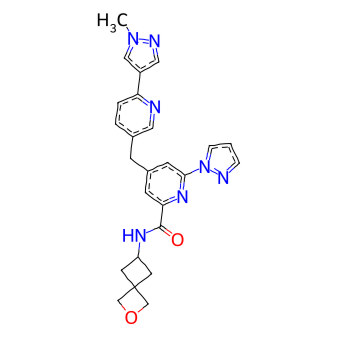 Cn1cc(-c2ccc(Cc3cc(C(=O)NC4CC5(COC5)C4)nc(-n4cccn4)c3)cn2)cn1